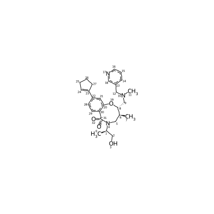 C[C@H](CO)N1C[C@H](C)[C@@H](CN(C)Cc2cccnc2)Oc2cc(C3=CCCC3)ccc2S1(=O)=O